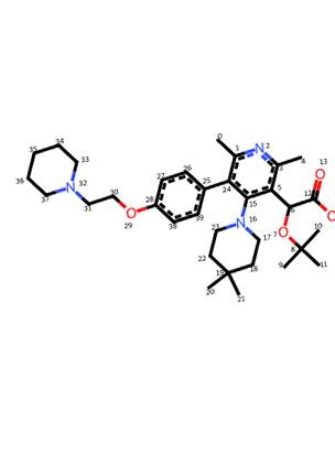 Cc1nc(C)c(C(OC(C)(C)C)C(=O)O)c(N2CCC(C)(C)CC2)c1-c1ccc(OCCN2CCCCC2)cc1